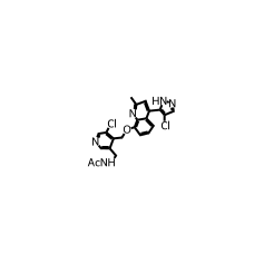 CC(=O)NCc1cncc(Cl)c1COc1cccc2c(-c3[nH]ncc3Cl)cc(C)nc12